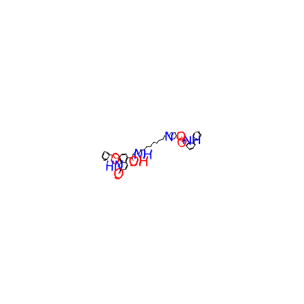 O=C(Nc1ccccc1-c1ccccc1)OC1CCN(CCCCCCCCCNCC(O)c2ccc(OCc3ccccc3)c3[nH]c(=O)ccc23)CC1